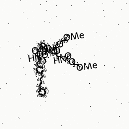 COCCOCC(=O)NCCCC[C@H](NC(=O)COCCOC)C(=O)N1CCC[C@H]1C(=O)ONC(=O)Cc1ccc(CCCCc2ccccc2)cc1